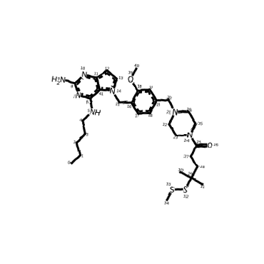 CCCCCNc1nc(N)nc2ccn(Cc3ccc(CN4CCN(C(=O)CCC(C)(C)SSC)CC4)cc3OC)c12